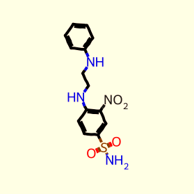 NS(=O)(=O)c1ccc(NCCNc2ccccc2)c([N+](=O)[O-])c1